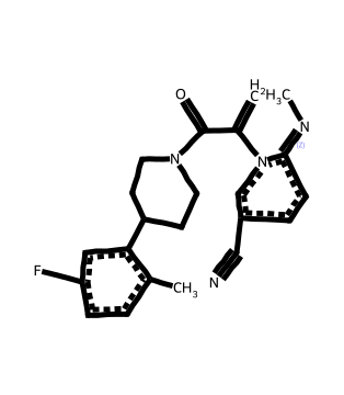 C=C(C(=O)N1CCC(c2cc(F)ccc2C)CC1)n1cc(C#N)cc/c1=N/C